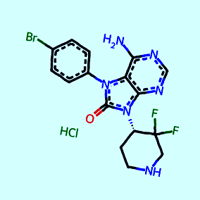 Cl.Nc1ncnc2c1n(-c1ccc(Br)cc1)c(=O)n2[C@H]1CCNCC1(F)F